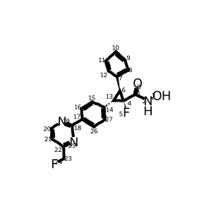 O=C(NO)[C@]1(F)[C@H](c2ccccc2)[C@H]1c1ccc(-c2nccc(CF)n2)cc1